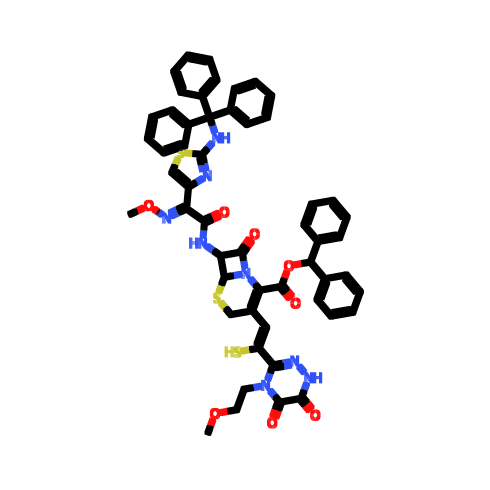 COCCn1c(C(S)=CC2=C(C(=O)OC(c3ccccc3)c3ccccc3)N3C(=O)C(NC(=O)C(=NOC)c4csc(NC(c5ccccc5)(c5ccccc5)c5ccccc5)n4)C3SC2)n[nH]c(=O)c1=O